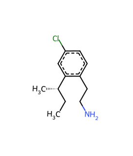 CC[C@H](C)c1cc(Cl)ccc1CCN